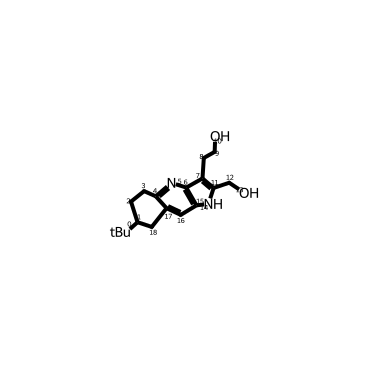 CC(C)(C)C1CCc2nc3c(CCO)c(CO)[nH]c3cc2C1